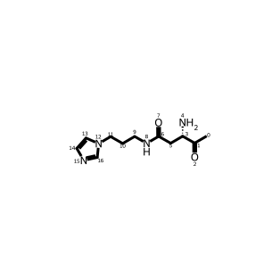 CC(=O)[C@@H](N)CC(=O)NCCCn1ccnc1